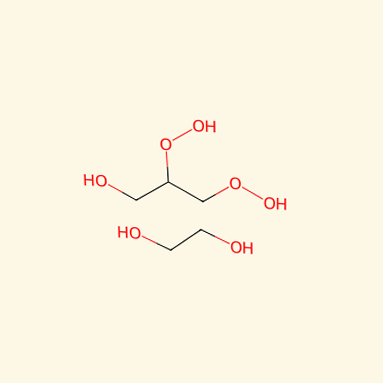 OCC(COO)OO.OCCO